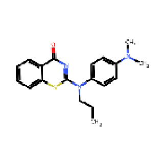 CCCN(c1ccc(N(C)C)cc1)c1nc(=O)c2ccccc2s1